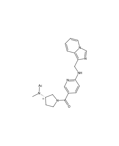 CC(=O)N(C)[C@H]1CCN(C(=O)c2ccc(NCc3ncn4ccccc34)nc2)C1